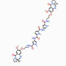 COc1cc2c(cc1OCCCNC(=O)c1cc(NC(=O)c3ccc(C(=O)Nc4cc(C(=O)NCCCOc5cc6c(cc5OC)C(=O)N5CCC[C@H]5C=N6)n(C)c4)n3C)cn1C)N=C[C@@H]1CCCN1C2=O